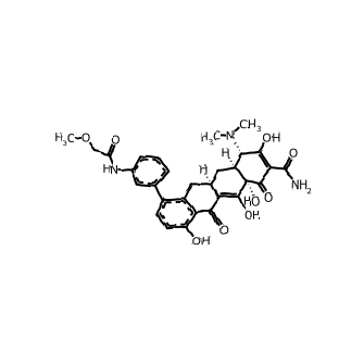 COCC(=O)Nc1cccc(-c2ccc(O)c3c2C[C@H]2C[C@H]4[C@H](N(C)C)C(O)=C(C(N)=O)C(=O)[C@@]4(O)C(O)=C2C3=O)c1